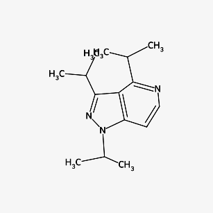 CC(C)c1nccc2c1c(C(C)C)nn2C(C)C